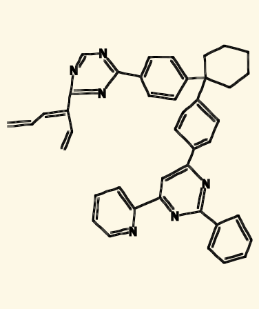 C=C/C=C(\C=C)c1ncnc(-c2ccc(C3(c4ccc(-c5cc(-c6ccccn6)nc(-c6ccccc6)n5)cc4)CCCCC3)cc2)n1